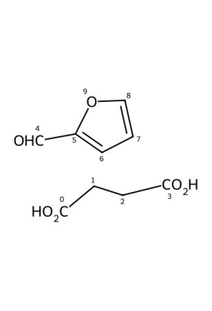 O=C(O)CCC(=O)O.O=Cc1ccco1